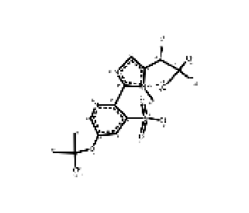 CCS(=O)(=O)c1cc(OC(C)(C)C(F)(F)F)cnc1-c1ncc([C@@H](F)C(F)(C(F)(F)F)C(F)(F)F)n1C